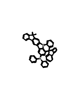 CC1(C)c2ccccc2-c2cc3c4cc(N(c5ccccc5)c5ccccc5)cc5c4n(c3cc21)-c1ccccc1C51c2ccccc2-c2ccccc21